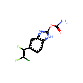 NC(=O)Oc1nc2cc(/C(F)=C(/F)Cl)ccc2[nH]1